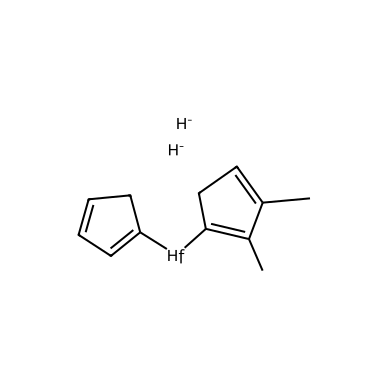 CC1=CC[C]([Hf][C]2=CC=CC2)=C1C.[H-].[H-]